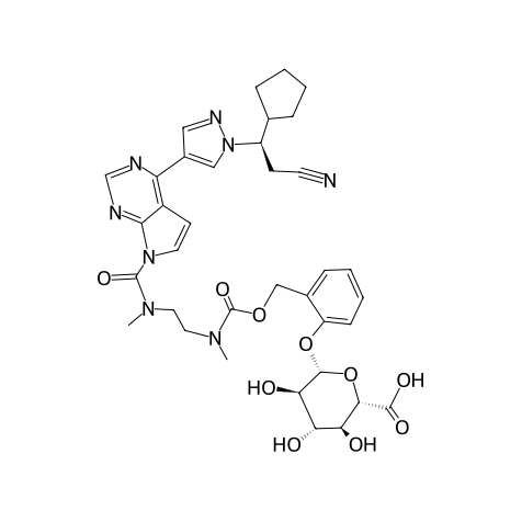 CN(CCN(C)C(=O)n1ccc2c(-c3cnn([C@H](CC#N)C4CCCC4)c3)ncnc21)C(=O)OCc1ccccc1O[C@@H]1O[C@H](C(=O)O)[C@@H](O)[C@H](O)[C@H]1O